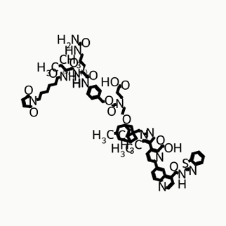 Cc1c(-c2ccc(-c3ccc4nccc(C(=O)Nc5nc6ccccc6s5)c4c3)nc2C(=O)O)cnn1CC12CC3(OCCN(CCC(=O)O)C(=O)OCc4ccc(NC(=O)[C@H](CCCNC(N)=O)NC(=O)[C@@H](NC(=O)CCCCCN5C(=O)C=CC5=O)C(C)C)cc4)CC4(C)CC(C)(C1)C2(C4)C3